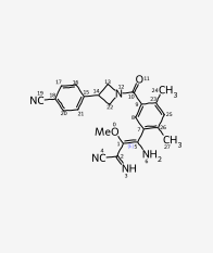 CO/C(C(=N)C#N)=C(/N)c1cc(C(=O)N2CC(c3ccc(C#N)cc3)C2)c(C)cc1C